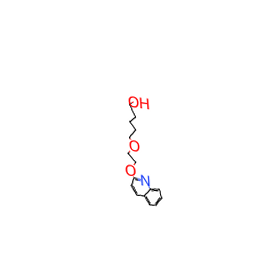 OCCCCCOCCOc1ccc2ccccc2n1